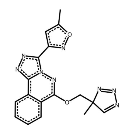 Cc1cc(-c2nnc3c4ccccc4c(OCC4(C)C=NN=N4)nn23)no1